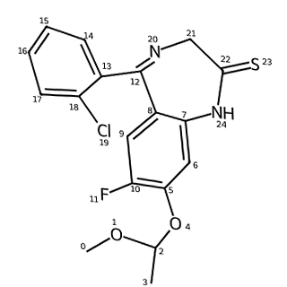 COC(C)Oc1cc2c(cc1F)C(c1ccccc1Cl)=NCC(=S)N2